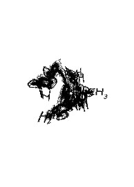 COC(=O)N1CC[C@H]2CC[C@@H](C(=O)NC(CCC(N)=O)C(=O)NC(Cc3ccc(C(F)(F)F)cc3)C(=O)N3CCC(CCC#Cc4cccc5c4CN(C4CCC(=O)NC4=O)C5=O)CC3)N2C(=O)[C@@H](NC(=O)c2cc3cc(C(F)(F)P(=O)(O)O)ccc3s2)C1